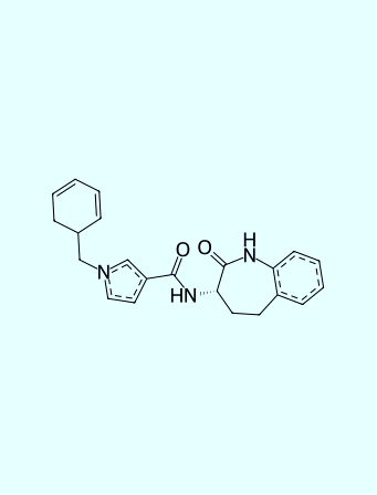 O=C(N[C@H]1CCc2ccccc2NC1=O)c1ccn(CC2C=CC=CC2)c1